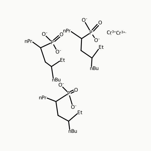 CCCCC(CC)CC(CCC)P(=O)([O-])[O-].CCCCC(CC)CC(CCC)P(=O)([O-])[O-].CCCCC(CC)CC(CCC)P(=O)([O-])[O-].[Cr+3].[Cr+3]